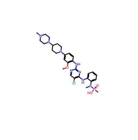 COc1cc(N2CCC(N3CCN(C)CC3)CC2)ccc1Nc1ncc(Cl)c(Nc2ccccc2N(C)P(C)(=O)O)n1